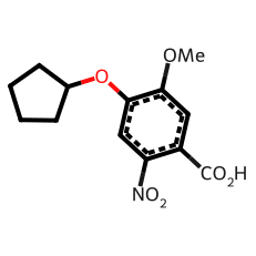 COc1cc(C(=O)O)c([N+](=O)[O-])cc1OC1CCCC1